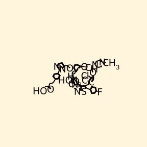 Cc1c2ccc(c1Cl)O[C@H](CN1CCN(C)CC1)COc1ccc(OCc3ccnc(-c4ccc(CCC(=O)CO)cc4)n3)c(c1)C[C@H](C(=O)O)Oc1ncnc3sc(-c4ccc(F)cc4)c-2c13